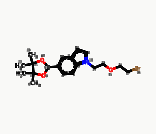 CC1(C)OB(c2ccc3c(ccn3CCOCCBr)c2)OC1(C)C